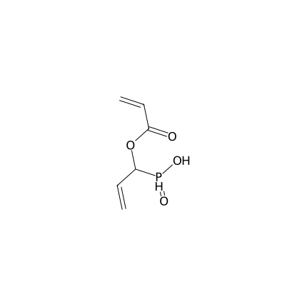 C=CC(=O)OC(C=C)[PH](=O)O